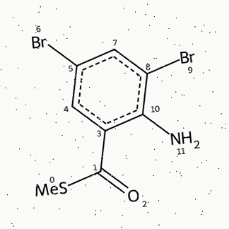 CSC(=O)c1cc(Br)cc(Br)c1N